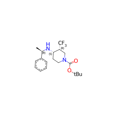 C[C@@H](N[C@H]1CCN(C(=O)OC(C)(C)C)C[C@H]1C(F)(F)F)c1ccccc1